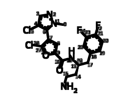 Cn1ncc(Cl)c1-c1cc(C(=O)N[C@H](CCN)Cc2ccc(F)c(F)c2)oc1Cl